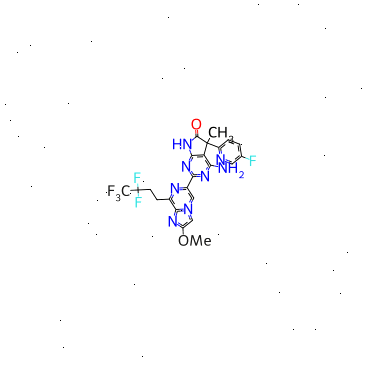 COc1cn2cc(-c3nc(N)c4c(n3)NC(=O)C4(C)c3ccc(F)cn3)nc(CCC(F)(F)C(F)(F)F)c2n1